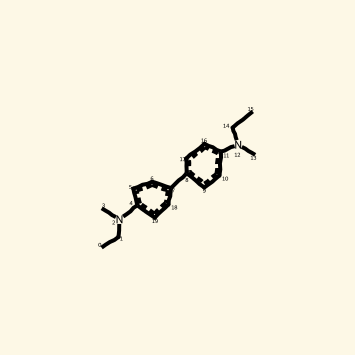 CCN(C)c1ccc(-c2ccc(N(C)CC)cc2)cc1